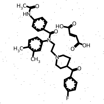 CC(=O)Nc1ccc(C(=O)N(CCN2CCC(C(=O)c3ccc(F)cc3)CC2)c2ccc(C)c(C)c2)cc1.O=C(O)C=CC(=O)O